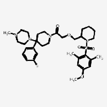 COc1cc(C)c(S(=O)(=O)N2CCCCC2COCC(=O)N2CCC(c3cccc(F)c3)(N3CCN(C)CC3)CC2)c(C)c1